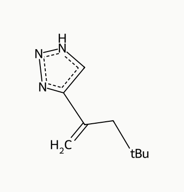 C=C(CC(C)(C)C)c1c[nH]nn1